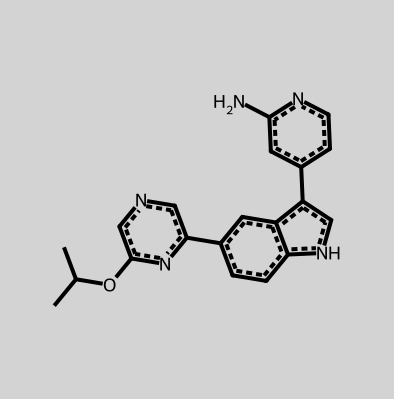 CC(C)Oc1cncc(-c2ccc3[nH]cc(-c4ccnc(N)c4)c3c2)n1